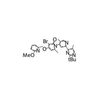 COc1cccc(COc2cc(C)n(-c3cc(-c4nc(C(C)(C)C)ncc4C)ncc3C)c(=O)c2Br)n1